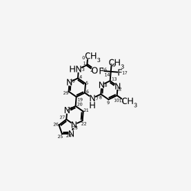 CC(=O)Nc1cc(Nc2cc(C)nc(C(C)(F)F)n2)c(-c2ccn3nccc3n2)cn1